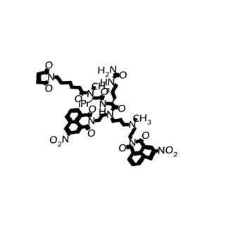 CC(C)[C@@H](C(=O)N[C@@H](CCCNC(N)=O)C(=O)N(CCCN(C)CCN1C(=O)c2cccc3cc([N+](=O)[O-])cc(c23)C1=O)CCN1C(=O)c2cccc3cc([N+](=O)[O-])cc(c23)C1=O)N(C)C(=O)CCCCCN1C(=O)C=CC1=O